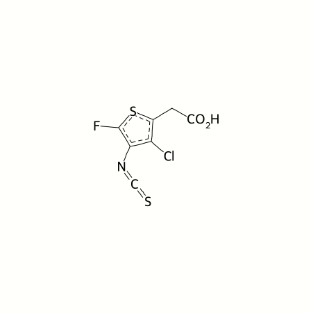 O=C(O)Cc1sc(F)c(N=C=S)c1Cl